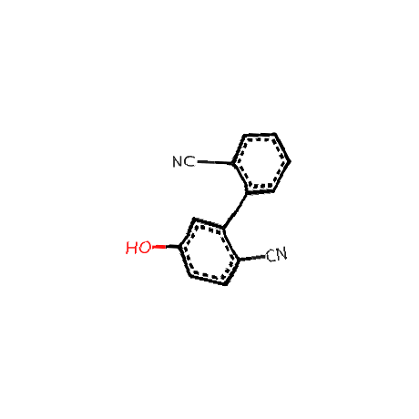 N#Cc1ccccc1-c1cc(O)ccc1C#N